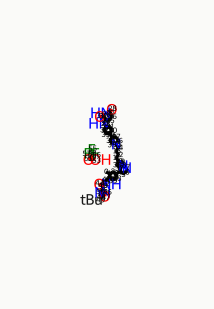 Cc1cc(-c2ccnn3cc(CCCCN4CCC(c5ccc(NC6CCC(=O)NC6=O)cc5)CC4)cc23)ccc1CNC(=O)c1noc(C(C)(C)C)n1.O=C(O)C(F)(F)F